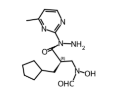 Cc1ccnc(N(N)C(=O)[C@H](CC2CCCC2)CN(O)C=O)n1